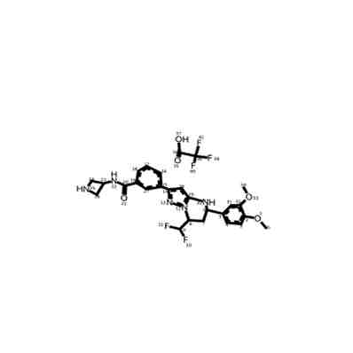 COc1ccc(C2CC(C(F)F)n3nc(-c4cccc(C(=O)NC5CNC5)c4)cc3N2)cc1OC.O=C(O)C(F)(F)F